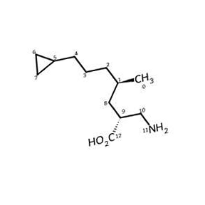 C[C@H](CCCC1CC1)C[C@H](CN)C(=O)O